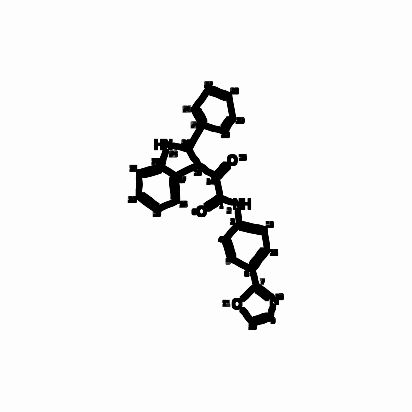 O=C(Nc1ccc(-c2ncco2)cc1)C(=O)C1c2ccccc2NC1c1ccccc1